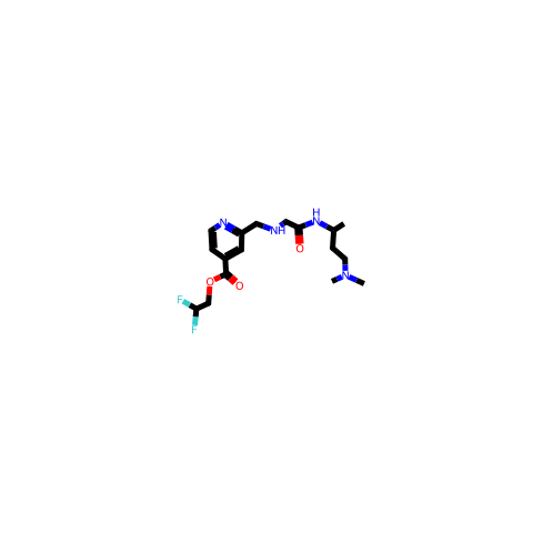 CC(CCN(C)C)NC(=O)CNCc1cc(C(=O)OCC(F)F)ccn1